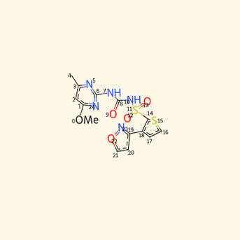 COc1cc(C)nc(NC(=O)NS(=O)(=O)c2sccc2-c2ccon2)n1